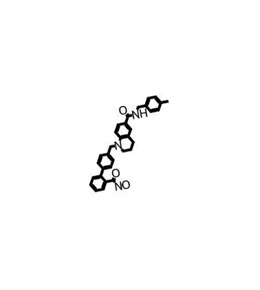 Cc1ccc(CNC(=O)c2ccc3c(c2)CCCN3Cc2ccc(-c3ccccc3C(=O)N=O)cc2)cc1